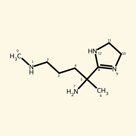 CNCCCC(C)(N)C1=NCCN1